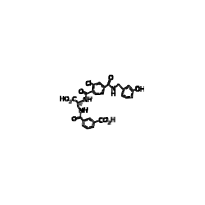 O=C(O)c1cccc(C(=O)NC[C@H](NC(=O)c2ccc(C(=O)NCc3cccc(O)c3)cc2Cl)C(=O)O)c1